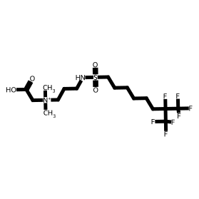 C[N+](C)(CCCNS(=O)(=O)CCCCCCC(F)(C(F)(F)F)C(F)(F)F)CC(=O)O